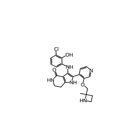 CC1(COc2cnccc2-c2[nH]c3c(c2Nc2cccc(Cl)c2O)C(=O)NCC3)CCN1